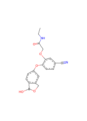 CCNC(=O)COc1cc(C#N)ccc1Oc1ccc2c(c1)COB2O